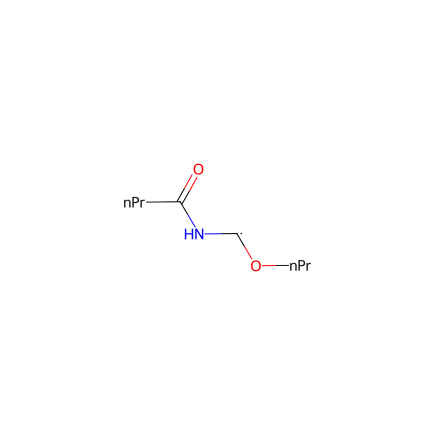 CCCO[CH]NC(=O)CCC